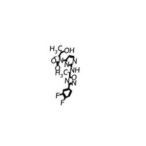 C[C@H](Nc1nccc(N2C(=O)OC[C@@H]2[C@@H](C)O)n1)c1nc(-c2ccc(F)c(F)c2)no1